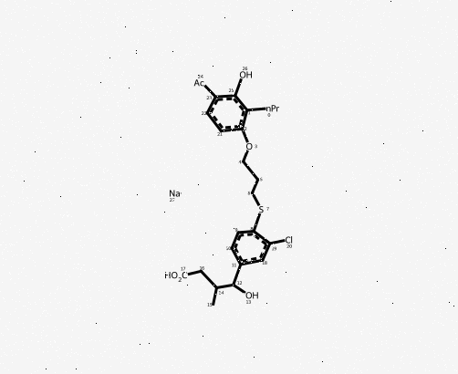 CCCc1c(OCCCSc2ccc(C(O)C(C)CC(=O)O)cc2Cl)ccc(C(C)=O)c1O.[Na]